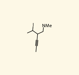 CC#CC(CNC)C(C)I